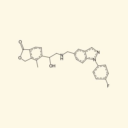 Cc1c(C(O)CNCc2ccc3c(cnn3-c3ccc(F)cc3)c2)ccc2c1COC2=O